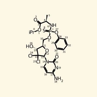 CC(C)OC(=O)[C@@H](C)NP(=S)(OC[C@H]1O[C@@H](n2ccc(N)nc2=O)C(Cl)(Cl)[C@@H]1O)Oc1ccccc1